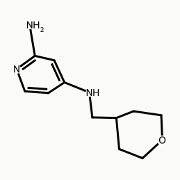 Nc1cc(NCC2CCOCC2)ccn1